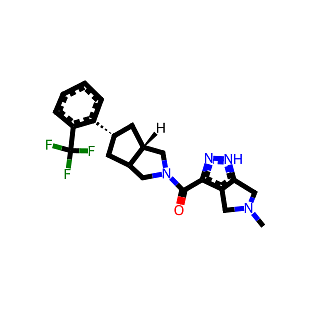 CN1Cc2[nH]nc(C(=O)N3CC4C[C@H](c5ccccc5C(F)(F)F)C[C@@H]4C3)c2C1